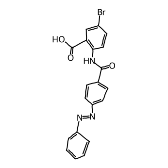 O=C(Nc1ccc(Br)cc1C(=O)O)c1ccc(N=Nc2ccccc2)cc1